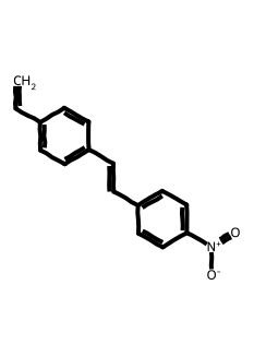 C=Cc1ccc(C=Cc2ccc([N+](=O)[O-])cc2)cc1